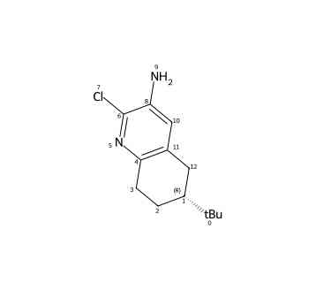 CC(C)(C)[C@@H]1CCc2nc(Cl)c(N)cc2C1